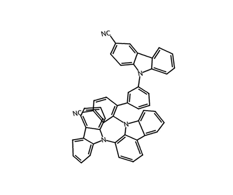 N#Cc1ccc(-c2cccc(-n3c4ccccc4c4cc(C#N)ccc43)c2)c(-n2c3ccccc3c3cccc(-n4c5ccccc5c5ccccc54)c32)c1